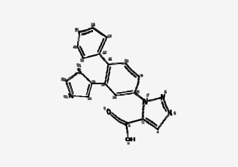 O=C(O)c1cnnn1-c1ccc(-c2ccccc2)c(-c2cncs2)c1